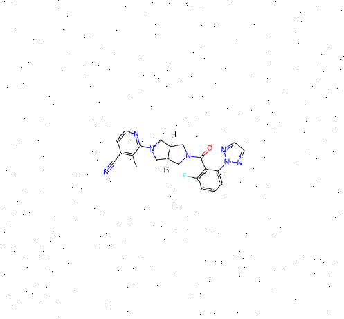 Cc1c(C#N)ccnc1N1C[C@H]2CN(C(=O)c3c(F)cccc3-n3nccn3)C[C@H]2C1